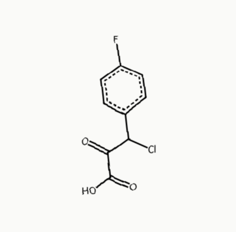 O=C(O)C(=O)C(Cl)c1ccc(F)cc1